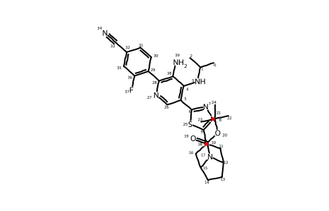 CC(C)Nc1c(-c2nnc(N3CC4CCC(C3)N4C(=O)OC(C)(C)C)s2)cnc(-c2ccc(C#N)cc2F)c1N